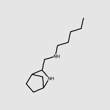 CCCCCNCC1NC2CCC1C2